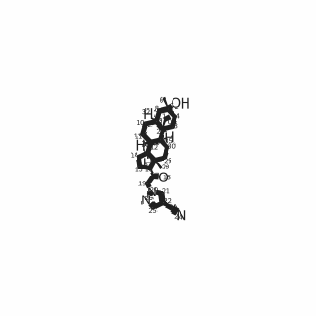 CC[C@]12CC[C@@](C)(O)C[C@@H]1CC[C@H]1[C@@H]3CC[C@H](C(=O)Cn4cc(C#N)cn4)[C@@]3(C)CC[C@@H]12